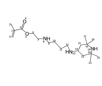 C=C(C)C(=O)OCCNCCCCNC1CC(C)(C)NC(C)(C)C1